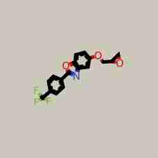 FC(F)(F)c1ccc(-c2nc3cc(OCC4CO4)ccc3o2)cc1